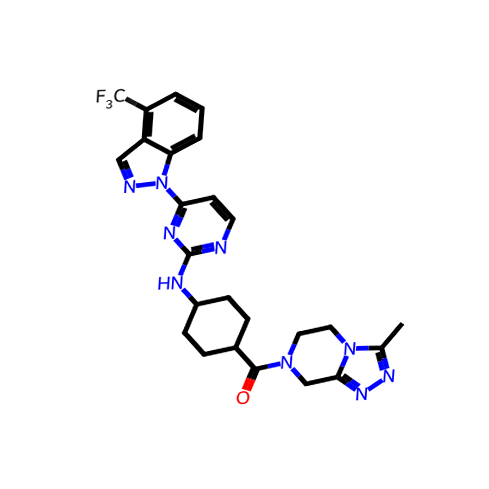 Cc1nnc2n1CCN(C(=O)C1CCC(Nc3nccc(-n4ncc5c(C(F)(F)F)cccc54)n3)CC1)C2